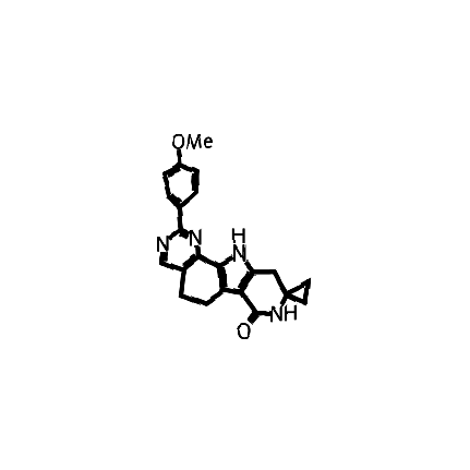 COc1ccc(-c2ncc3c(n2)-c2[nH]c4c(c2CC3)C(=O)NC2(CC2)C4)cc1